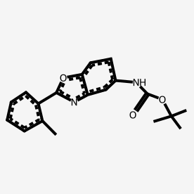 Cc1ccccc1-c1nc2cc(NC(=O)OC(C)(C)C)ccc2o1